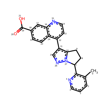 Cc1cccnc1C1CCc2c(-c3ccnc4cc(C(=O)O)ccc34)cnn21